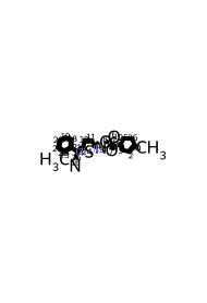 CC1=CC=C(S(=O)(=O)O/N=C2C=C/C(=C(/C#N)c3ccccc3C)S\2)CC1